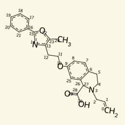 C=CCN1CCc2ccc(OCCc3nc(-c4ccccc4)oc3C)cc2C1C(=O)O